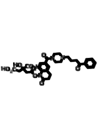 O=C(O)CC(O)(CC(=O)ON1C(=O)CCc2cc(C(=O)N3CCN(CCCC(=O)c4ccccc4)CC3)ccc21)C(=O)O